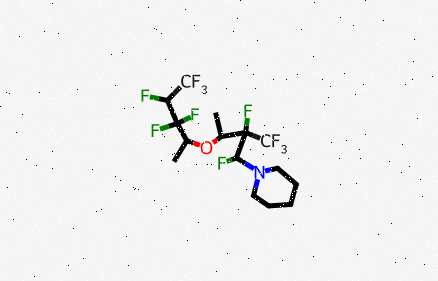 CC(OC(C)C(F)(C(F)N1CCCCC1)C(F)(F)F)C(F)(F)C(F)C(F)(F)F